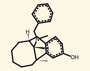 CN(Cc1ccccc1)[C@H]1[C@H]2CCCCC[C@]1(C)c1cc(O)ccc1C2